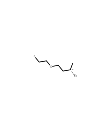 CC[C@@H](C)CCOCCF